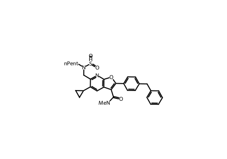 CCCCCN(Cc1nc2oc(-c3ccc(Cc4ccccc4)cc3)c(C(=O)NC)c2cc1C1CC1)[SH](=O)=O